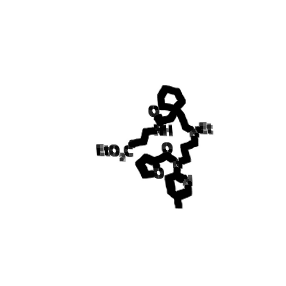 CCOC(=O)CCCNC(=O)CC1(CCN(CC)CCCN(C(=O)c2ccco2)c2ccc(C)cn2)CCCCC1